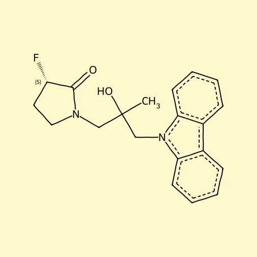 CC(O)(CN1CC[C@H](F)C1=O)Cn1c2ccccc2c2ccccc21